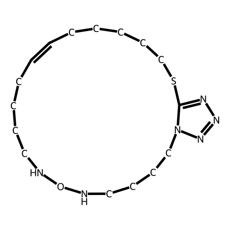 C1=C\CCCCNONCCCCn2nnnc2SCCCCC/1